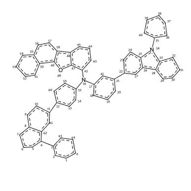 c1ccc(-c2cccc3ccc(-c4ccc(N(c5cccc(-c6ccc7c(c6)c6ccccc6n7-c6ccccc6)c5)c5cccc6c5oc5c7ccccc7ccc65)cc4)cc23)cc1